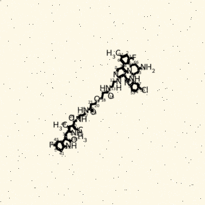 Cc1cc(F)cc(-c2cnc(NCCNC(=O)CCOCCC(=O)NCCNC(=O)c3c(C)[nH]c(/C=C4\C(=O)Nc5ccc(F)cc54)c3C)c(-c3nc4ccc(Cl)cc4[nH]3)c2N2CCC(N)CC2)c1